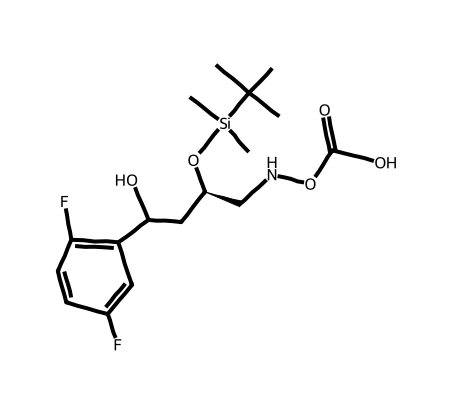 CC(C)(C)[Si](C)(C)O[C@@H](CNOC(=O)O)CC(O)c1cc(F)ccc1F